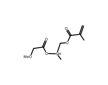 C=C(C)C(=O)OC[SiH](C)OC(=O)COC